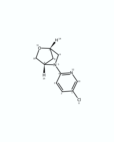 Clc1ccc(N2C[C@@H]3C[C@H]2CO3)nc1